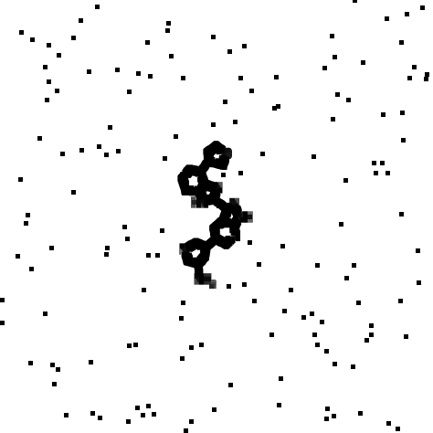 Nc1cncc(-c2cnc3[nH]nc(-c4nc5c(-c6ccoc6)cccc5[nH]4)c3c2)c1